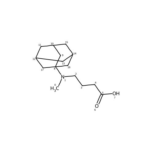 CN(CCCC(=O)O)C12CC3CC(CC(C3)C1)C2